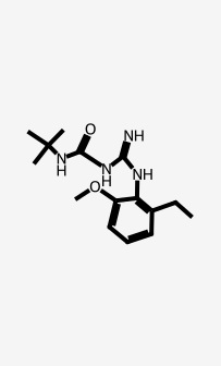 CCc1cccc(OC)c1NC(=N)NC(=O)NC(C)(C)C